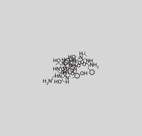 CC(C)C[C@H](NC(=O)[C@@H](N)Cc1ccccc1)C(=O)N[C@@H](CO)C(=O)N[C@@H](Cc1ccccc1)C(=O)N1CCC[C@H]1C(=O)N[C@H](C(=O)N[C@H](C(=O)N[C@@H](CCCCN)C(=O)N[C@H](C(=O)N[C@@H](Cc1ccc(O)cc1)C(=O)N[C@@H](Cc1ccccc1)C(=O)O)[C@@H](C)O)[C@@H](C)O)[C@@H](C)O